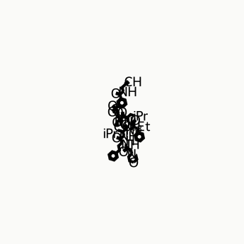 C#CCNC(=O)c1cccc(S(=O)(=O)OCC(C)(OC(=O)OCC)C(=O)C(CC(C)C)NC(=O)C(Cc2ccccc2)NC(=O)C(CC(C)C)NC(=O)C(CCc2ccccc2)NC(=O)CN2CCOCC2)c1